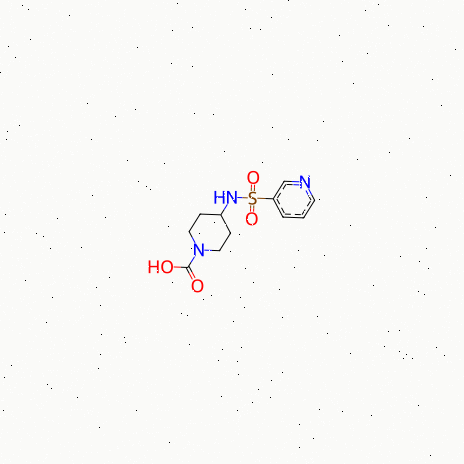 O=C(O)N1CCC(NS(=O)(=O)c2cccnc2)CC1